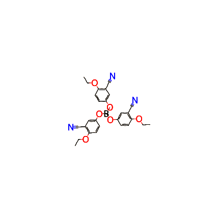 CCOc1ccc(OB(Oc2ccc(OCC)c(C#N)c2)Oc2ccc(OCC)c(C#N)c2)cc1C#N